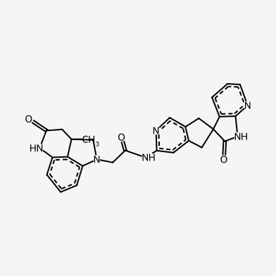 CC12CC(=O)Nc3cccc(c31)N(CC(=O)Nc1cc3c(cn1)CC1(C3)C(=O)Nc3ncccc31)C2